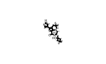 O=C1N[C@@H](CC2(O)CC(F)(F)C2)CN2CC(F)(F)Cc3c(-c4cn[nH]c4)sc1c32